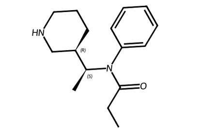 CCC(=O)N(c1ccccc1)[C@@H](C)[C@@H]1CCCNC1